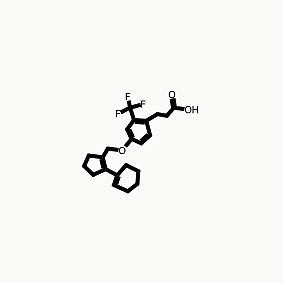 O=C(O)CCc1ccc(OCC2=C(C3=CCCCC3)CCC2)cc1C(F)(F)F